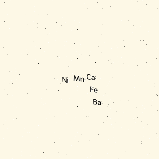 [Ba].[Ca].[Fe].[Mn].[Ni]